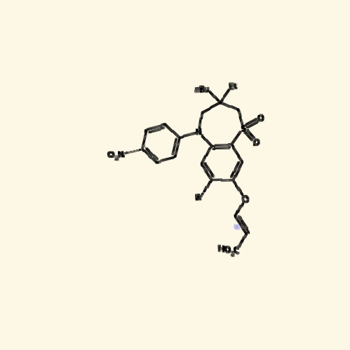 CCCCC1(CC)CN(c2ccc([N+](=O)[O-])cc2)c2cc(Br)c(O/C=C/C(=O)O)cc2S(=O)(=O)C1